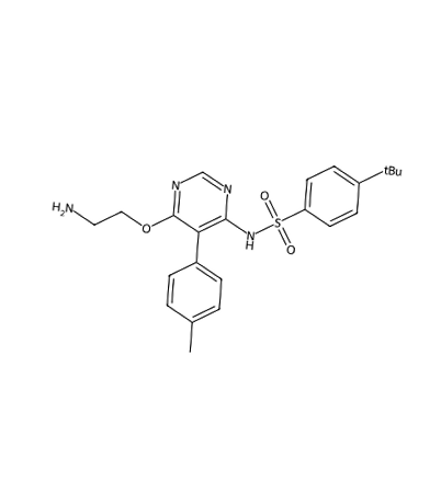 Cc1ccc(-c2c(NS(=O)(=O)c3ccc(C(C)(C)C)cc3)ncnc2OCCN)cc1